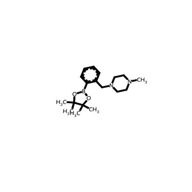 CN1CCN(Cc2ccccc2B2OC(C)(C)C(C)(C)O2)CC1